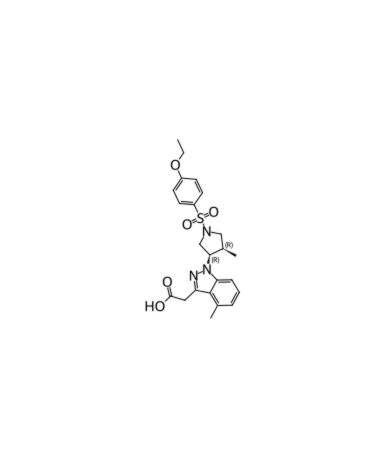 CCOc1ccc(S(=O)(=O)N2C[C@@H](C)[C@@H](n3nc(CC(=O)O)c4c(C)cccc43)C2)cc1